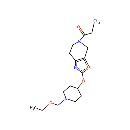 CCOCN1CCC(Oc2nc3c(s2)CN(C(=O)CC)CC3)CC1